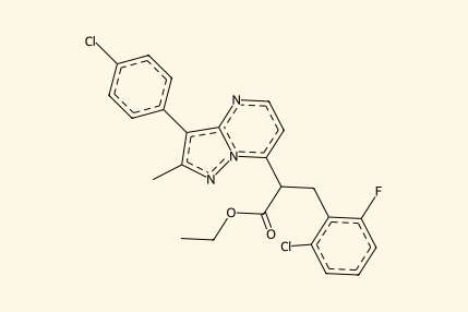 CCOC(=O)C(Cc1c(F)cccc1Cl)c1ccnc2c(-c3ccc(Cl)cc3)c(C)nn12